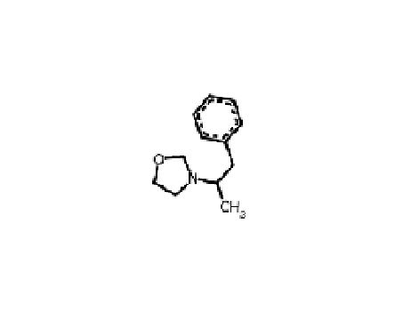 CC(Cc1ccccc1)N1CCOC1